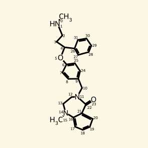 CNCCC(Oc1ccc(CN2CCN(C)c3ccccc3C2=O)cc1)c1ccccc1